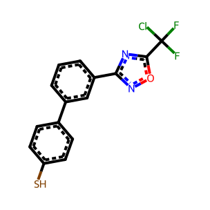 FC(F)(Cl)c1nc(-c2cccc(-c3ccc(S)cc3)c2)no1